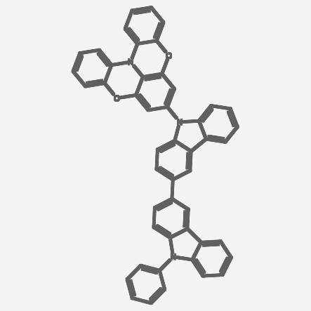 c1ccc(-n2c3ccccc3c3cc(-c4ccc5c(c4)c4ccccc4n5-c4cc5c6c(c4)Oc4ccccc4N6c4ccccc4O5)ccc32)cc1